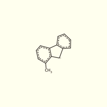 Cc1cccc2c1[C]c1ccccc1-2